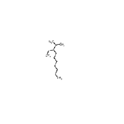 [CH2]C(C)C(CC)CCCCCCC